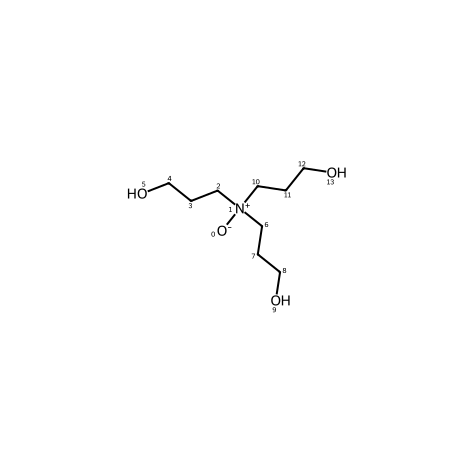 [O-][N+](CCCO)(CCCO)CCCO